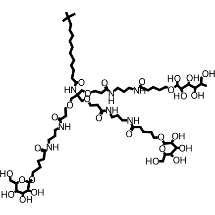 CC(CO)C(O)C(O)C(O)C(O)OCCCCC(=O)NCCCNC(=O)CCOCC(COCCC(=O)NCCCNC(=O)CCCCOC1OC(CO)C(O)C(O)C1O)(COCCC(=O)NCCCNC(=O)CCCCOC1OC(CO)C(O)C(O)C1O)NC(=O)CCCCCCCCCCC(C)(C)C